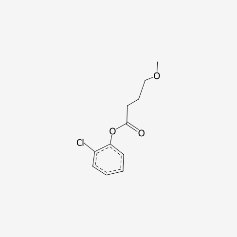 COCCCC(=O)Oc1ccccc1Cl